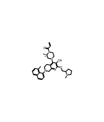 C=CC(=O)N1CCN(c2c(C#N)c(OCC3CCCN3C)nc3c2CCN(c2cccc4cccc(C)c24)C3)C[C@H]1C